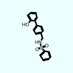 O=S(=O)(NCc1ccc(-c2cc[c]cc2O)cc1)c1ccccc1